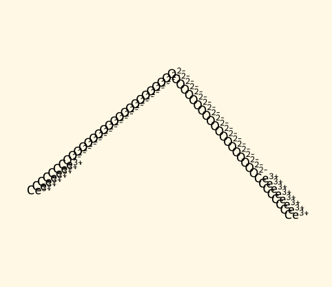 [Ce+3].[Ce+3].[Ce+3].[Ce+3].[Ce+3].[Ce+3].[Ce+3].[Ce+3].[Ce+3].[Ce+3].[Ce+3].[Ce+3].[Ce+3].[Ce+3].[Ce+3].[O-2].[O-2].[O-2].[O-2].[O-2].[O-2].[O-2].[O-2].[O-2].[O-2].[O-2].[O-2].[O-2].[O-2].[O-2].[O-2].[O-2].[O-2].[O-2].[O-2].[O-2].[O-2].[O-2].[O-2].[O-2].[O-2].[O-2].[O-2].[O-2].[O-2].[O-2].[O-2].[O-2].[O-2].[O-2].[O-2].[O-2].[O-2].[O-2].[O-2]